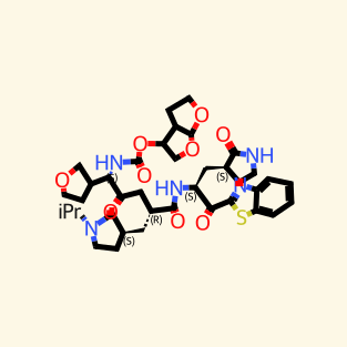 CC(C)N1CC[C@H](C[C@H](CC(=O)[C@@H](NC(=O)OC2COC3OCCC23)C2CCOC2)C(=O)N[C@@H](C[C@@H]2CCNC2=O)C(=O)c2nc3ccccc3s2)C1